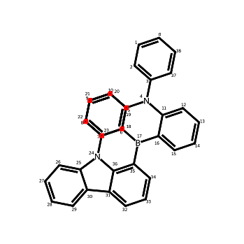 c1ccc(N(c2ccccc2)c2ccccc2B2c3ccccc3-n3c4ccccc4c4cccc2c43)cc1